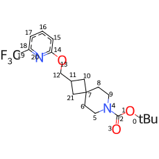 CC(C)(C)OC(=O)N1CCC2(CC1)CC(COc1cccc(C(F)(F)F)n1)C2